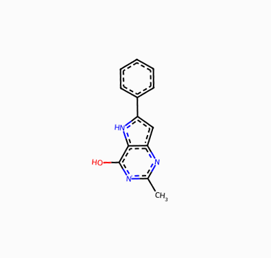 Cc1nc(O)c2[nH]c(-c3ccccc3)cc2n1